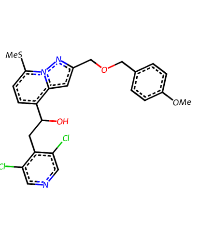 COc1ccc(COCc2cc3c(C(O)Cc4c(Cl)cncc4Cl)ccc(SC)n3n2)cc1